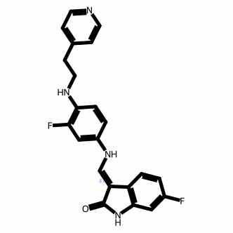 O=C1Nc2cc(F)ccc2/C1=C\Nc1ccc(NCCc2ccncc2)c(F)c1